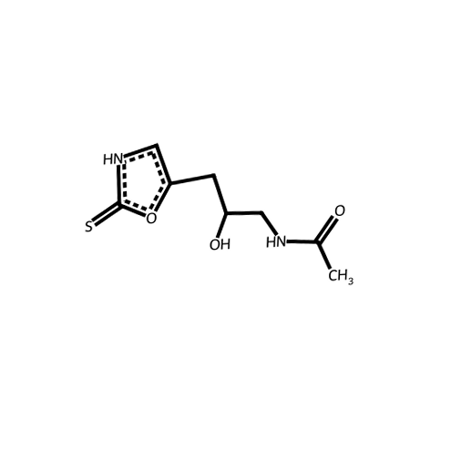 CC(=O)NCC(O)Cc1c[nH]c(=S)o1